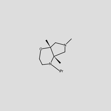 CC(C)N1CCO[C@]2(C)CN(C)C[C@]12C